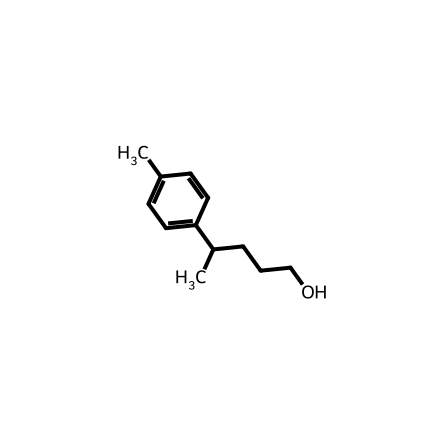 Cc1ccc(C(C)CCCO)cc1